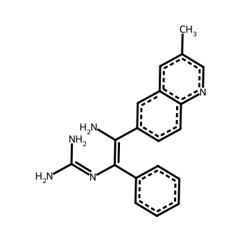 Cc1cnc2ccc(/C(N)=C(/N=C(N)N)c3ccccc3)cc2c1